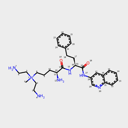 C[N+](CCN)(CCN)CCC[C@H](N)C(=O)N[C@@H](CCc1ccccc1)C(=O)Nc1cnc2ccccc2c1